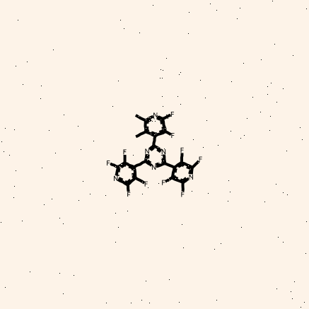 Cc1nc(F)c(F)c(-c2nc(-c3c(F)c(F)nc(F)c3F)nc(-c3c(F)c(F)nc(F)c3F)n2)c1C